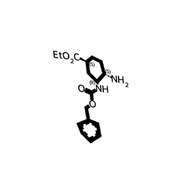 CCOC(=O)[C@H]1CC[C@H](N)[C@H](NC(=O)OCc2ccccc2)C1